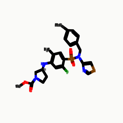 COc1ccc(CN(c2cscn2)S(=O)(=O)c2cc(C)c(N[C@H]3CCN(C(=O)OC(C)(C)C)C3)cc2F)cc1